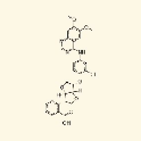 COc1cc2ncnc(Nc3ccc(O[C@H]4CO[C@H]5[C@H]4OC[C@@H]5c4ccccc4C(=O)O)c(Cl)c3)c2cc1OC